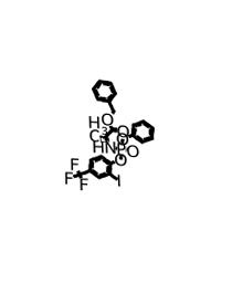 C[C@H](NP(=O)(Oc1ccccc1)Oc1ccc(C(F)(F)F)cc1I)C(=O)OCc1ccccc1